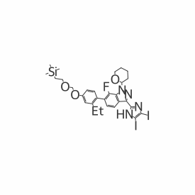 CCc1cc(OCOCC[Si](C)(C)C)ccc1-c1ccc2c(-c3nc(I)c(I)[nH]3)nn(C3CCCCO3)c2c1F